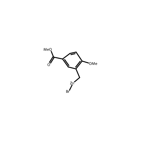 COC(=O)c1ccc(OC)c([CH2][Zn][Br])c1